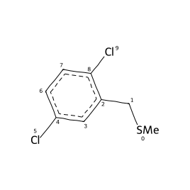 [CH2]SCc1cc(Cl)ccc1Cl